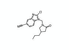 CCCC1CC(=O)N(Cn2c(Cl)nc3cc(C#N)ccc32)C1